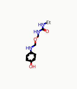 CCNC(=O)NCOCNc1ccc(O)cc1